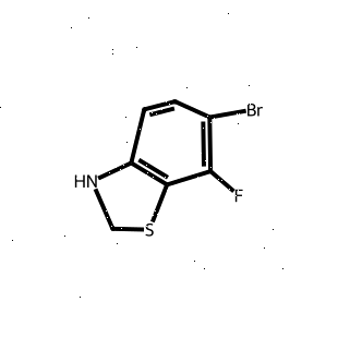 Fc1c(Br)ccc2c1SCN2